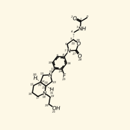 CC(=O)NC[C@H]1CN(c2ccc(N3C[C@@H]4CCCN(CCO)[C@@H]4C3)c(F)c2)C(=O)O1